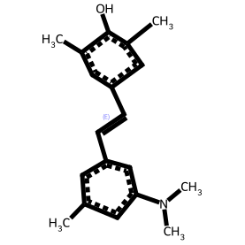 Cc1cc(/C=C/c2cc(C)c(O)c(C)c2)cc(N(C)C)c1